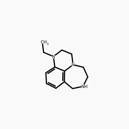 CCN1CCN2CCNCc3cccc1c32